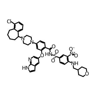 O=C(NS(=O)(=O)c1ccc(NCC2CCOCC2)c([N+](=O)[O-])c1)c1ccc(N2CCN(C3CCCCc4c(Cl)cccc43)CC2)cc1Oc1cnc2[nH]ccc2c1